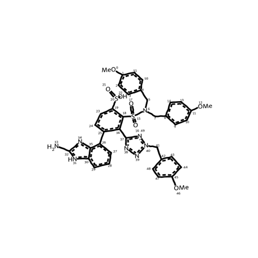 COc1ccc(CN(Cc2ccc(OC)cc2)S(=O)(=O)c2c(S(=O)O)ccc(-c3cccc4[nH]c(N)nc34)c2-c2nnn(Cc3ccc(OC)cc3)n2)cc1